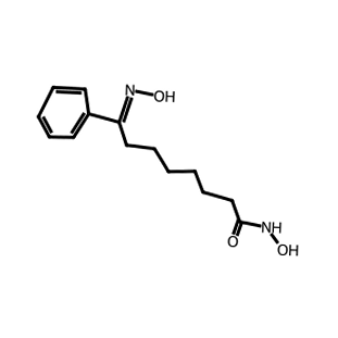 O=C(CCCCCCC(=NO)c1ccccc1)NO